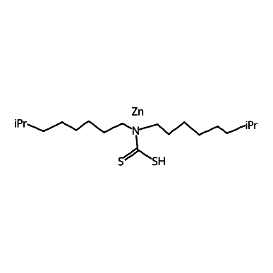 CC(C)CCCCCCN(CCCCCCC(C)C)C(=S)S.[Zn]